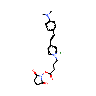 CN(C)c1ccc(/C=C/c2cc[n+](CCCC(=O)ON3C(=O)CCC3=O)cc2)cc1.[Cl-]